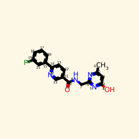 Cc1cc(O)nc(CNC(=O)c2ccc(-c3cccc(F)c3)nc2)n1